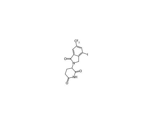 O=C1CCC(N2Cc3c(I)cc(C(F)(F)F)cc3C2=O)C(=O)N1